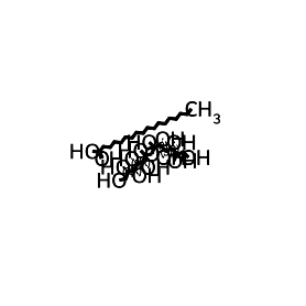 CCCCCCCCCCCCCCCCCC(=O)O.OC[C@@H](O)[C@@H](O)[C@H](O)[C@@H](O)C(O)OC(O)[C@H](O)[C@@H](O)[C@H](O)[C@H](O)CO